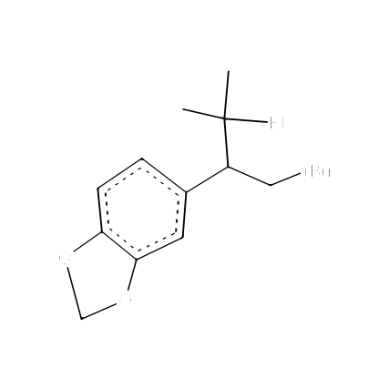 CCC(C)(C)C(CC(C)(C)C)c1ccc2c(c1)OCO2